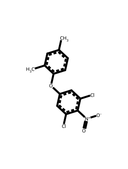 Cc1ccc(Oc2cc(Cl)c([N+](=O)[O-])c(Cl)c2)c(C)c1